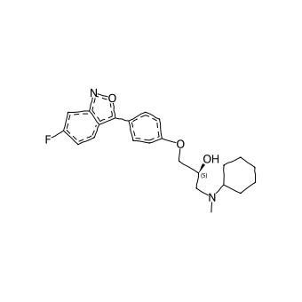 CN(C[C@H](O)COc1ccc(-c2onc3cc(F)ccc23)cc1)C1CCCCC1